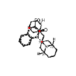 O=C(O)c1nc2ccccc2n([C@H]2C[C@H]3CCC[C@@H](C2)N3CCC2CCCCC2)c1=O